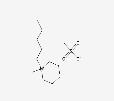 CCCCC[N+]1(C)CCCCC1.CS(=O)(=O)[O-]